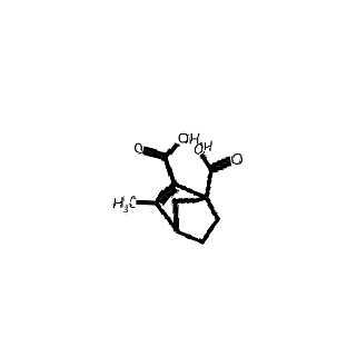 CC1=C(C(=O)O)C2(C(=O)O)CCC1C2